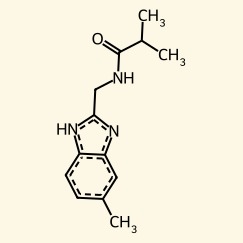 Cc1ccc2[nH]c(CNC(=O)C(C)C)nc2c1